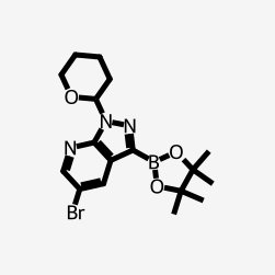 CC1(C)OB(c2nn(C3CCCCO3)c3ncc(Br)cc23)OC1(C)C